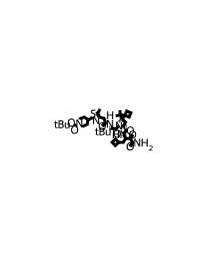 Cc1sc(C2CCN(C(=O)OC(C)(C)C)CC2)nc1CC(=O)N[C@H](C(=O)N1C[C@]2(C[C@H]1C(=O)NC(CC1CCC1)C(=O)C(N)=O)C(C)(C)C21CCC1)C(C)(C)C